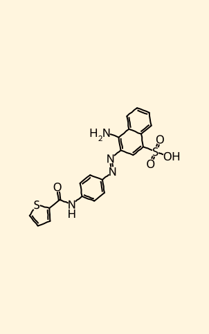 Nc1c(/N=N/c2ccc(NC(=O)c3cccs3)cc2)cc(S(=O)(=O)O)c2ccccc12